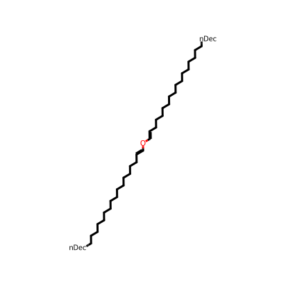 CCCCCCCCCCCCCCCCCCCCCCCCCC=COC=CCCCCCCCCCCCCCCCCCCCCCCCCC